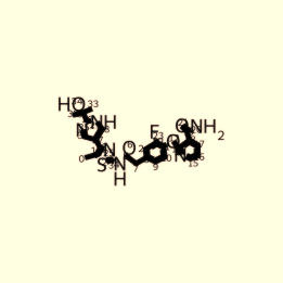 Cc1sc(NC(=O)Cc2ccc(Oc3ncccc3C(N)=O)c(F)c2)nc1C1=CNC(C(C)(C)O)N=C1